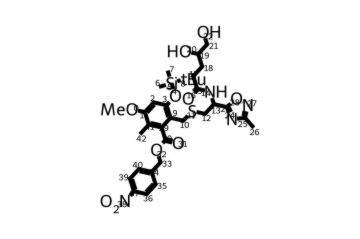 COc1cc(O[Si](C)(C)C(C)(C)C)c(CSCC(NC(=O)CCC(O)CO)c2nc(C)no2)c(C(=O)OCc2ccc([N+](=O)[O-])cc2)c1C